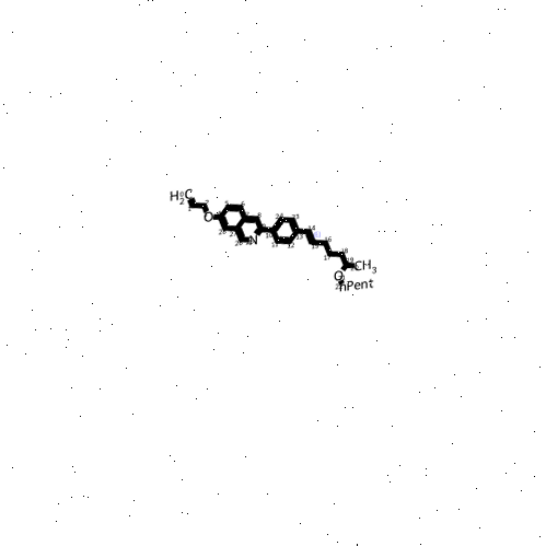 C=CCOc1ccc2cc(-c3ccc(/C=C/CCCC(C)OCCCCC)cc3)ncc2c1